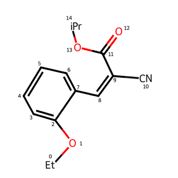 CCOc1ccccc1C=C(C#N)C(=O)OC(C)C